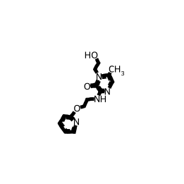 Cc1cnc(NCCOc2ccccn2)c(=O)n1CCO